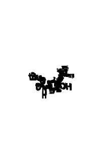 CC(C)(C)OC(=O)NC1CCC(O)(C#C[Si](C)(C)C)CC1